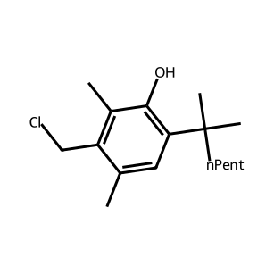 CCCCCC(C)(C)c1cc(C)c(CCl)c(C)c1O